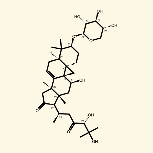 C[C@H](CC(=O)[C@H](O)C(C)(C)O)[C@H]1C(=O)C[C@@]2(C)C3=CC[C@H]4C(C)(C)[C@@H](O[C@@H]5OC[C@@H](O)[C@H](O)[C@H]5O)CC[C@@]45C[C@@]35[C@@H](O)C[C@]12C